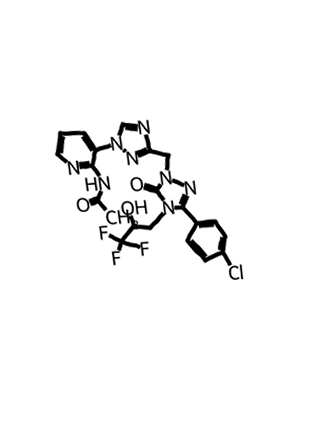 CC(=O)Nc1ncccc1-n1cnc(Cn2nc(-c3ccc(Cl)cc3)n(CC(O)C(F)(F)F)c2=O)n1